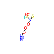 [N-]=[N+]=NCCOCCOCCOCCN(CCSF)CC[S+]([O-])F